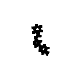 Fc1ccc(-c2cnn(CCN3CCCCC3)c2)cc1